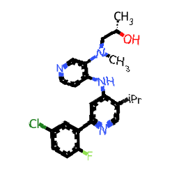 CC(C)c1cnc(-c2cc(Cl)ccc2F)cc1Nc1ccncc1N(C)C[C@H](C)O